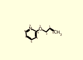 C=CCOc1cc[c]cn1